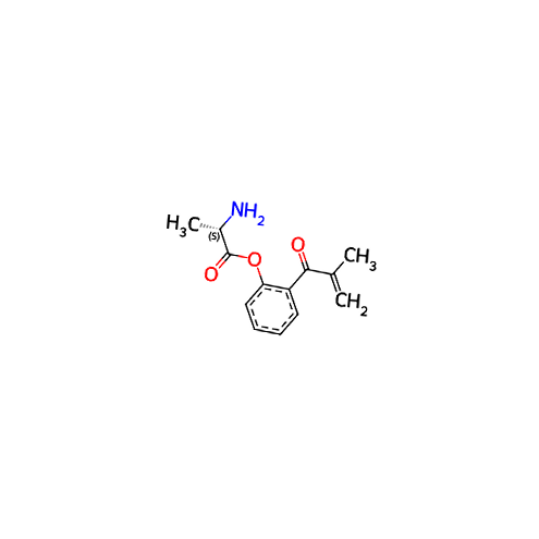 C=C(C)C(=O)c1ccccc1OC(=O)[C@H](C)N